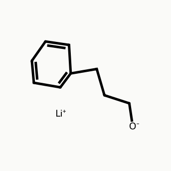 [Li+].[O-]CCCc1ccccc1